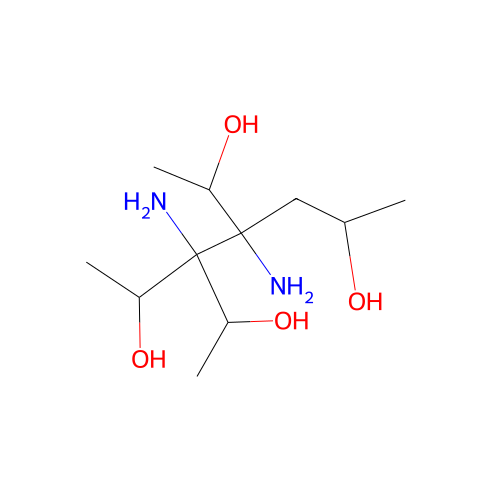 CC(O)CC(N)(C(C)O)C(N)(C(C)O)C(C)O